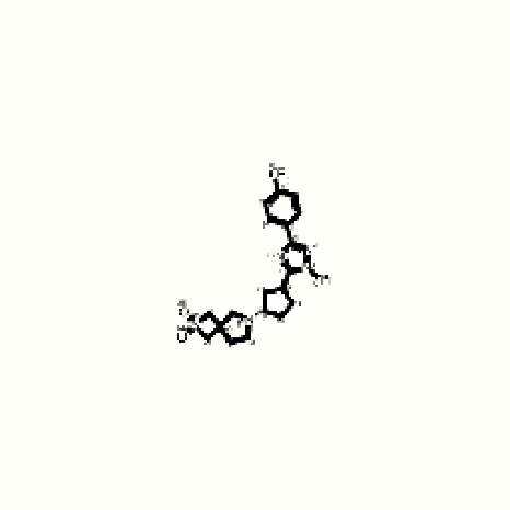 CC(C)n1nc(-c2ccc(C(F)(F)F)cc2)nc1C1CC[C@H](N2CCC3(C2)CS(=O)(=O)C3)C1